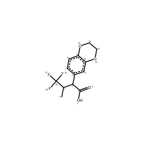 CC(C(C(=O)O)c1ccc2c(c1)OCCO2)C(F)(F)F